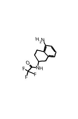 Nc1cccc2c1CCC(NC(=O)C(F)(F)F)C2